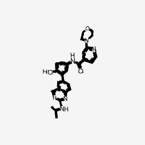 CC(C)Nc1ncc2cc(-c3cc(NC(=O)c4ccnc(N5CCOCC5)c4)ccc3O)ccc2n1